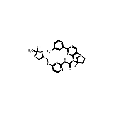 CC1(C)OC[C@@H](COc2ccnc(NC(=O)N3c4nc(-c5cccc(C(F)(F)F)c5)ncc4N4CC[C@H]3C4)n2)O1